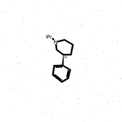 CC(C)N1CCC[C@@H](c2ccccc2)C1